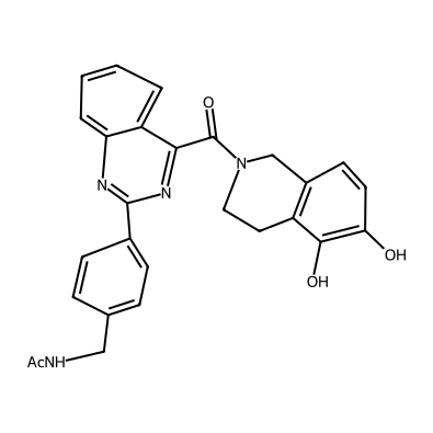 CC(=O)NCc1ccc(-c2nc(C(=O)N3CCc4c(ccc(O)c4O)C3)c3ccccc3n2)cc1